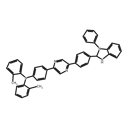 Cc1ccccc1N(c1ccc(-c2cnc(-c3ccc(C4Nc5ccccc5N4c4ccccc4)cc3)cn2)cc1)c1ccccc1C